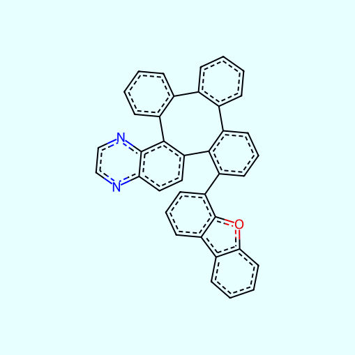 c1ccc2c(c1)-c1ccccc1-c1c(ccc3nccnc13)-c1c-2cccc1-c1cccc2c1oc1ccccc12